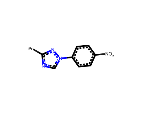 CC(C)c1ncn(-c2ccc([N+](=O)[O-])cc2)n1